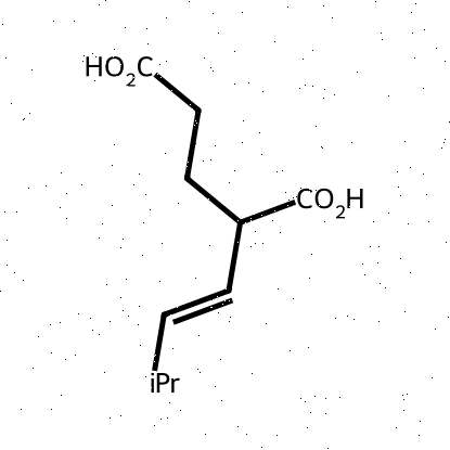 CC(C)C=CC(CCC(=O)O)C(=O)O